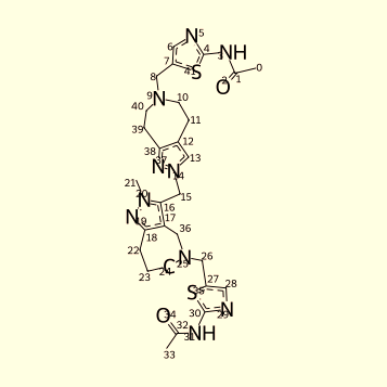 CC(=O)Nc1ncc(CN2CCc3cn(Cc4c5c(nn4C)CCCN(Cc4cnc(NC(C)=O)s4)C5)nc3CC2)s1